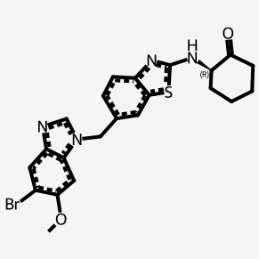 COc1cc2c(cc1Br)ncn2Cc1ccc2nc(N[C@@H]3CCCCC3=O)sc2c1